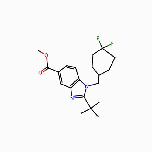 COC(=O)c1ccc2c(c1)nc(C(C)(C)C)n2CC1CCC(F)(F)CC1